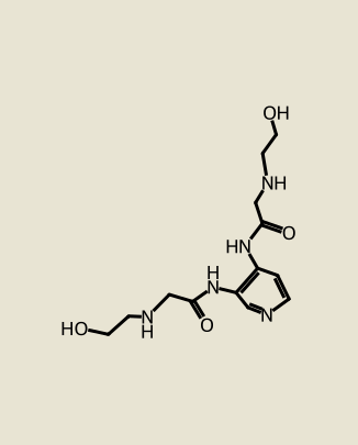 O=C(CNCCO)Nc1ccncc1NC(=O)CNCCO